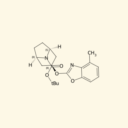 Cc1cccc2oc(O[C@H]3C[C@H]4CC[C@@H](C3)N4C(=O)OC(C)(C)C)nc12